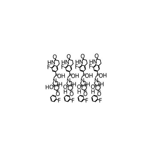 O=C1CCc2cc([C@@H](O)CN3C[C@@H]4C[C@@H](Oc5ccccc5F)C[C@]4(O)C3)cc(F)c2N1.O=C1CCc2cc([C@@H](O)CN3C[C@H]4C[C@H](Oc5ccccc5F)C[C@@]4(O)C3)cc(F)c2N1.O=C1CCc2cc([C@H](O)CN3C[C@@H]4C[C@@H](Oc5ccccc5F)C[C@]4(O)C3)cc(F)c2N1.O=C1CCc2cc([C@H](O)CN3C[C@H]4C[C@H](Oc5ccccc5F)C[C@@]4(O)C3)cc(F)c2N1